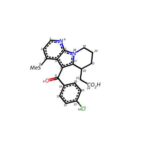 CSc1ccnc2c1c(C(=O)c1ccc(Cl)cc1)c1n2CCCC1CC(=O)O